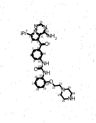 CC(C)c1cc(C(=O)c2cccc(NC(=O)Nc3ccccc3OCCN3CCNCC3)c2)c2c(N)ncnn12